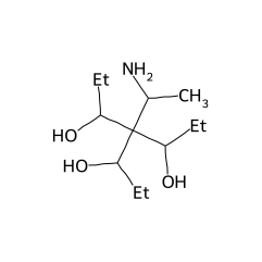 CCC(O)C(C(C)N)(C(O)CC)C(O)CC